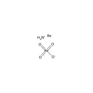 [NH4+].[O]=[Re](=[O])(=[O])[O-].[Re]